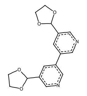 c1ncc(C2OCCO2)cc1-c1cncc(C2OCCO2)c1